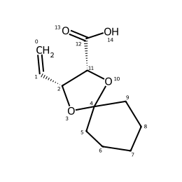 C=C[C@H]1OC2(CCCCC2)O[C@H]1C(=O)O